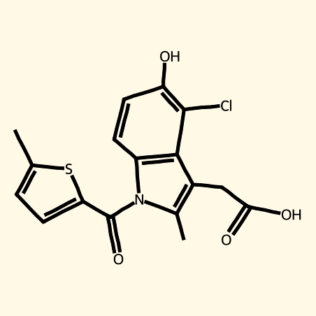 Cc1ccc(C(=O)n2c(C)c(CC(=O)O)c3c(Cl)c(O)ccc32)s1